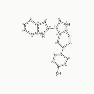 Oc1ccc(-c2ccc3[nH]nc(-c4nc5ccccc5[nH]4)c3c2)cc1